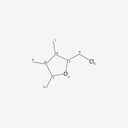 CC1OC(CCl)C(C)C1C